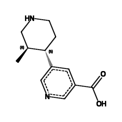 C[C@H]1CNCC[C@@H]1c1cncc(C(=O)O)c1